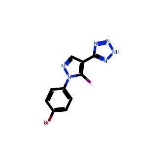 Brc1ccc(-n2ncc(-c3nn[nH]n3)c2I)cc1